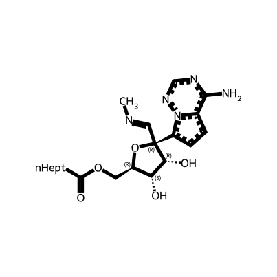 CCCCCCCC(=O)OC[C@H]1O[C@@](C=NC)(c2ccc3c(N)ncnn23)[C@H](O)[C@@H]1O